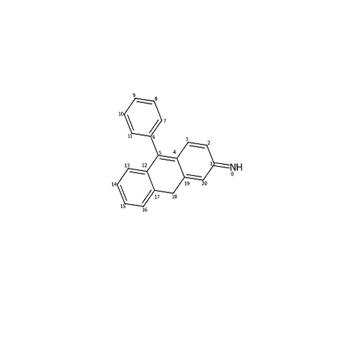 N=C1C=CC2=C(c3ccccc3)c3ccccc3CC2=C1